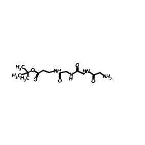 CC(C)(C)OC(=O)CCNC(=O)CNC(=O)CNC(=O)CN